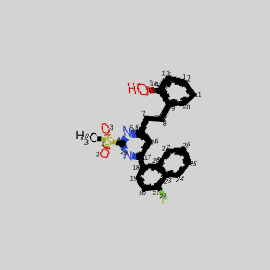 CS(=O)(=O)c1nc(CCc2ccccc2O)cc(-c2ccc(F)c3ccccc23)n1